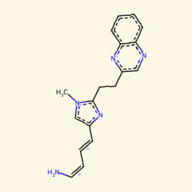 Cn1cc(/C=C/C=C\N)nc1CCc1cnc2ccccc2n1